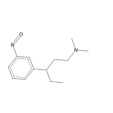 CCC(CCN(C)C)c1cccc(N=O)c1